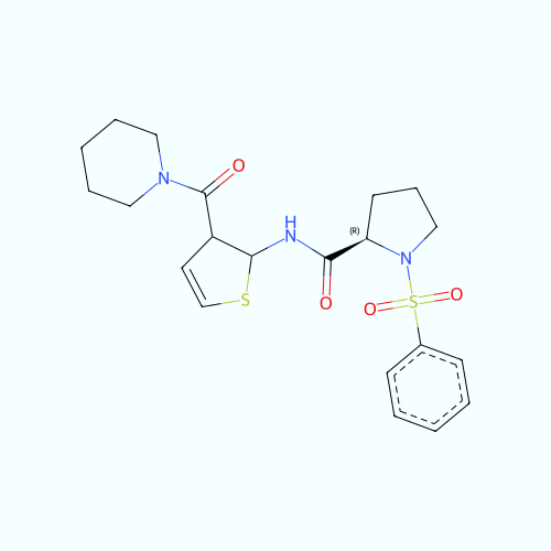 O=C(NC1SC=CC1C(=O)N1CCCCC1)[C@H]1CCCN1S(=O)(=O)c1ccccc1